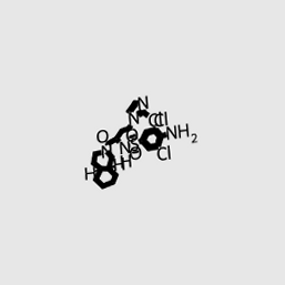 Nc1c(Cl)cc(S(=O)(=O)NC(CCn2ccnc2Cl)C(=O)N2CC[C@@H]3CCCC[C@H]3C2)cc1Cl